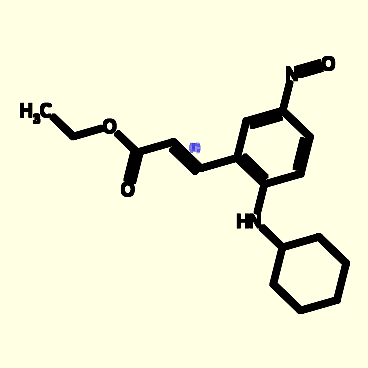 CCOC(=O)/C=C/c1cc(N=O)ccc1NC1CCCCC1